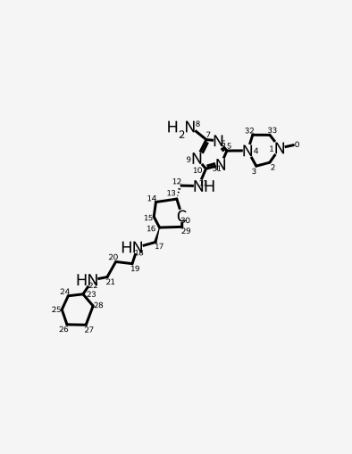 CN1CCN(c2nc(N)nc(NC[C@H]3CC[C@H](CNCCCNC4CCCCC4)CC3)n2)CC1